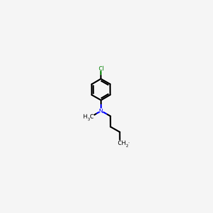 [CH2]CCCN(C)c1ccc(Cl)cc1